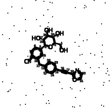 OC[C@H]1O[C@@H](c2ccc(Cl)c(Cc3ccc(C#Cc4ncco4)cc3)c2)[C@H](O)[C@@H](O)[C@@H]1O